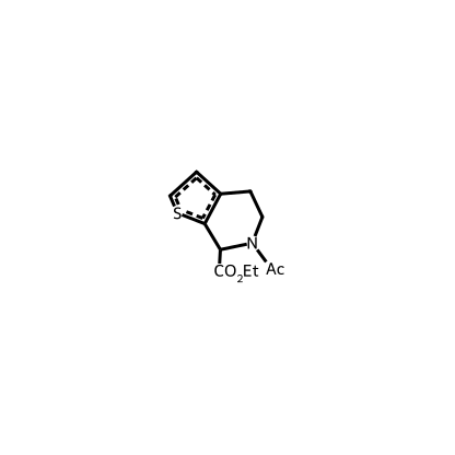 CCOC(=O)C1c2sccc2CCN1C(C)=O